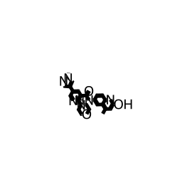 Cc1cc(O)nc2ccc(NC(=O)c3cc(-c4cnn(C)c4)cnc3N3CCOCC3)cc12